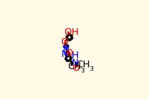 CC(=O)NC(C)c1ccc2nc(N3CC(Oc4cccc(O)c4)C3)oc2c1